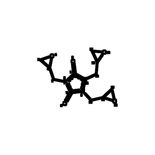 O=c1n(CC2CO2)c(=O)n(CC2CO2)n1CC1CO1